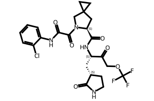 O=C(Nc1ccccc1Cl)C(=O)N1CC2(CC2)C[C@H]1C(=O)N[C@@H](C[C@@H]1CCNC1=O)C(=O)COC(F)(F)F